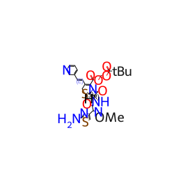 CON=C(C(=O)N[C@@H]1C(=O)N2C(C(=O)OCOC(=O)C(C)(C)C)=C(/C=C/c3cccnc3)CS[C@@H]12)c1csc(N)n1